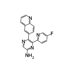 Nc1cnc(-c2ccc3ncccc3c2)c(-c2ccc(F)cn2)n1